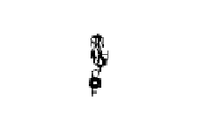 Fc1ccc(OC[C@@H]2CC[C@H]3CN(c4ncccn4)CCN3C2)cc1